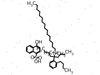 CCCCCCCCCCCCCCCC[N+](C)(C)C(CCCC)(CCCC)c1ccccc1CCCC.O=S(=O)(O)c1ccc(O)c2ccccc12